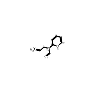 C=CCN([C]=S)C1C=CC=CO1